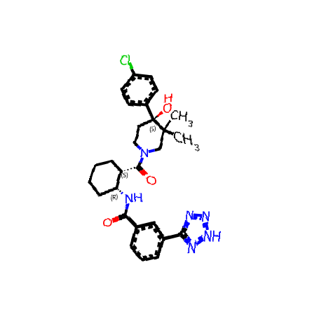 CC1(C)CN(C(=O)[C@H]2CCCC[C@H]2NC(=O)c2cccc(-c3nn[nH]n3)c2)CC[C@]1(O)c1ccc(Cl)cc1